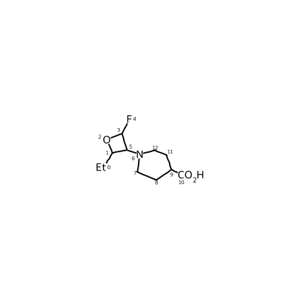 CCC1OC(F)C1N1CCC(C(=O)O)CC1